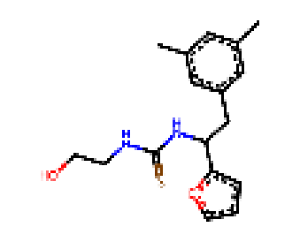 Cc1cc(C)cc(CC(NC(=S)NCCO)c2ccco2)c1